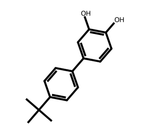 CC(C)(C)c1ccc(-c2ccc(O)c(O)c2)cc1